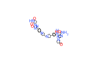 Cn1c(-c2ccc(N3CCC(CN4CCC(c5ccc(Nc6nc(N7CCCC8(COC8)C7)cnc6C(N)O)cc5)CC4)CC3)cc2)nn(C2CCC(=O)NC2=O)c1=O